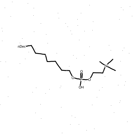 CCCCCCCCCCCCCCCCCOP(=O)(O)OCC[N+](C)(C)C